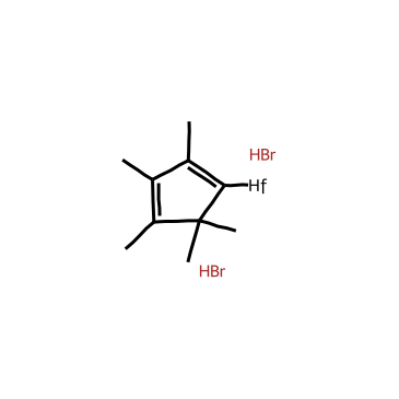 Br.Br.CC1=C(C)C(C)(C)[C]([Hf])=C1C